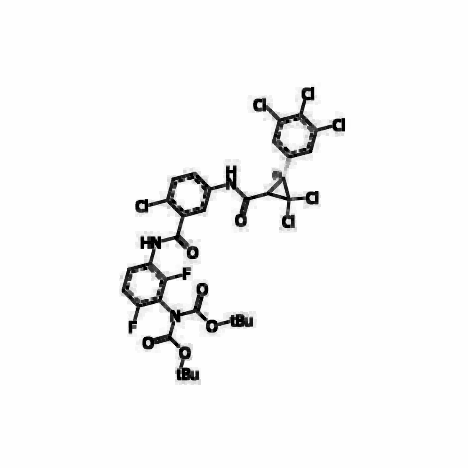 CC(C)(C)OC(=O)N(C(=O)OC(C)(C)C)c1c(F)ccc(NC(=O)c2cc(NC(=O)C3[C@H](c4cc(Cl)c(Cl)c(Cl)c4)C3(Cl)Cl)ccc2Cl)c1F